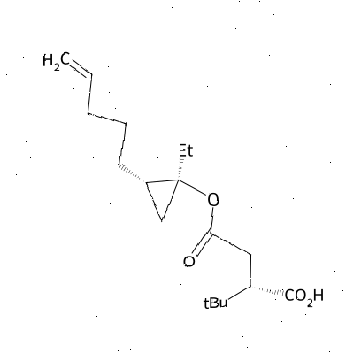 C=CCCC[C@H]1C[C@]1(CC)OC(=O)C[C@H](C(=O)O)C(C)(C)C